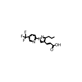 CCCc1nn(-c2ccc(C(F)(F)F)cn2)cc1/C=C/C(=O)O